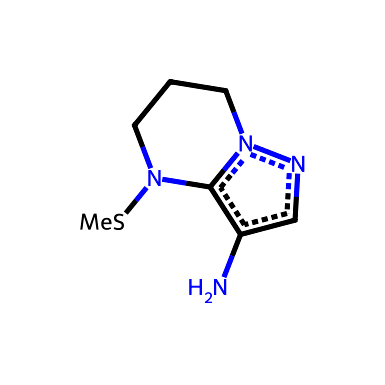 CSN1CCCn2ncc(N)c21